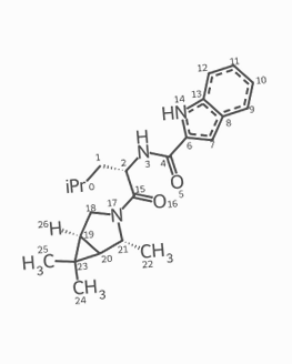 CC(C)C[C@H](NC(=O)c1cc2ccccc2[nH]1)C(=O)N1C[C@H]2C([C@H]1C)C2(C)C